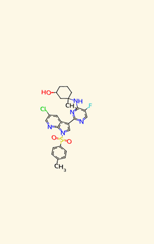 Cc1ccc(S(=O)(=O)n2cc(-c3ncc(F)c(NC4(C)CCC[C@H](O)C4)n3)c3cc(Cl)cnc32)cc1